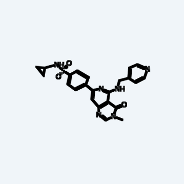 Cn1cnc2cc(-c3ccc(S(=O)(=O)NC4CC4)cc3)nc(NCc3ccncc3)c2c1=O